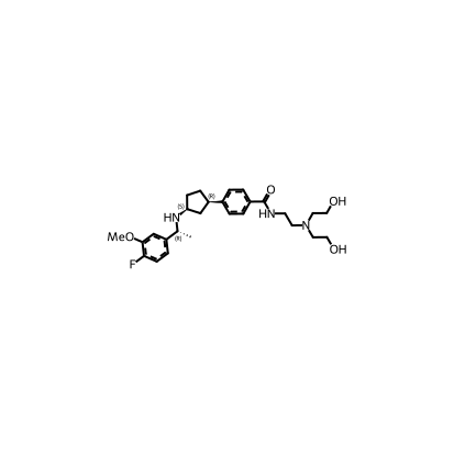 COc1cc([C@@H](C)N[C@H]2CC[C@@H](c3ccc(C(=O)NCCN(CCO)CCO)cc3)C2)ccc1F